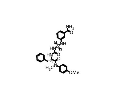 COc1ccc(N(C)C(=O)[C@H](Cc2ccccc2)NC(=O)NS(=O)(=O)Nc2cccc(C(N)=O)c2)cc1